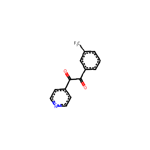 O=C(C(=O)c1cccc(C(F)(F)F)c1)c1ccncc1